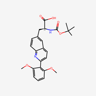 COc1cccc(OC)c1-c1ccc2cc(C[C@H](NC(=O)OC(C)(C)C)C(=O)O)ccc2n1